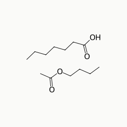 CCCCCCC(=O)O.CCCCOC(C)=O